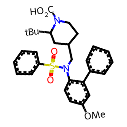 COc1ccc(N(CC2CCN(C(=O)O)C(C(C)(C)C)C2)S(=O)(=O)c2ccccc2)c(-c2ccccc2)c1